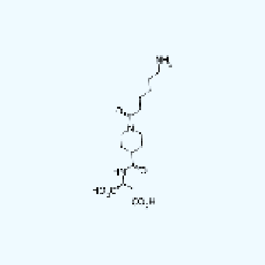 NCCCCCC(=O)N1CCC(C(=O)N[C@@H](CC(=O)O)C(=O)O)CC1